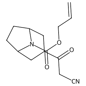 C=CCOC(=O)N1C2CCC1CC(C(=O)CC#N)C2